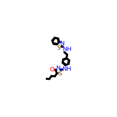 CCCCC1SC(Nc2ccc(CCNc3nc4ccccc4s3)cc2)=NC1=O